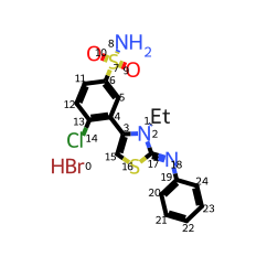 Br.CCn1c(-c2cc(S(N)(=O)=O)ccc2Cl)csc1=Nc1ccccc1